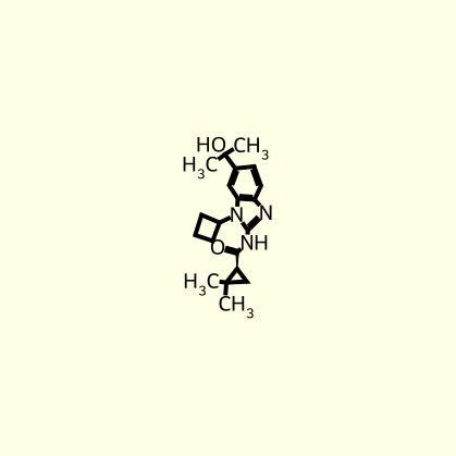 CC(C)(O)c1ccc2nc(NC(=O)[C@H]3CC3(C)C)n(C3CCC3)c2c1